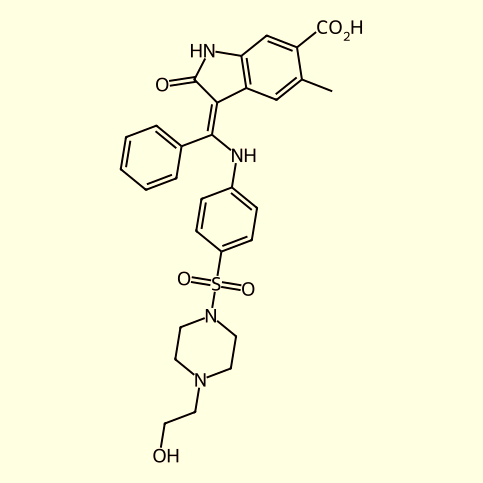 Cc1cc2c(cc1C(=O)O)NC(=O)C2=C(Nc1ccc(S(=O)(=O)N2CCN(CCO)CC2)cc1)c1ccccc1